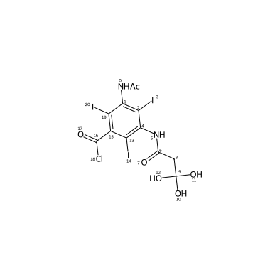 CC(=O)Nc1c(I)c(NC(=O)CC(O)(O)O)c(I)c(C(=O)Cl)c1I